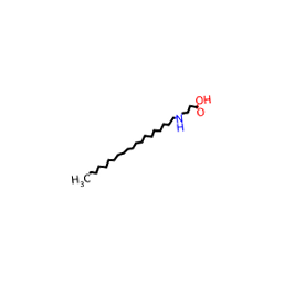 CCCCCCCCCCCCCCCCCCCCNCCCC(=O)O